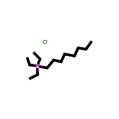 CCCCCCCC[P+](CC)(CC)CC.[Cl-]